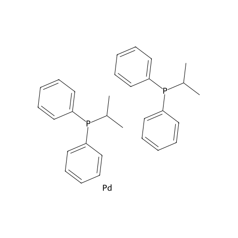 CC(C)P(c1ccccc1)c1ccccc1.CC(C)P(c1ccccc1)c1ccccc1.[Pd]